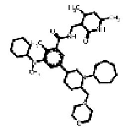 Cc1c(C(=O)NCC2C(=O)NC(C)CC2C)cc(C2CCC(CN3CCOCC3)N(C3CCCCCC3)C2)cc1N(C)C1CCCCC1